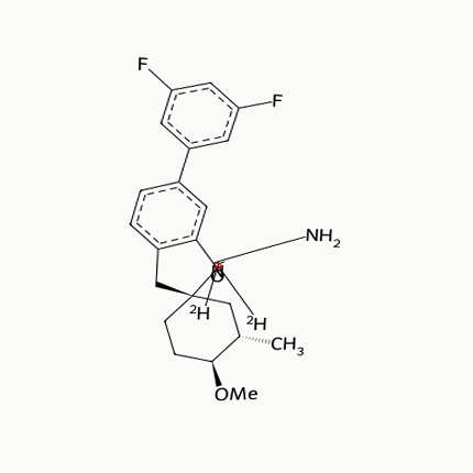 [2H]C1([2H])OC(N)=NC12c1cc(-c3cc(F)cc(F)c3)ccc1C[C@@]21CC[C@H](OC)[C@@H](C)C1